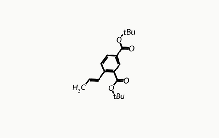 CC=Cc1ccc(C(=O)OC(C)(C)C)cc1C(=O)OC(C)(C)C